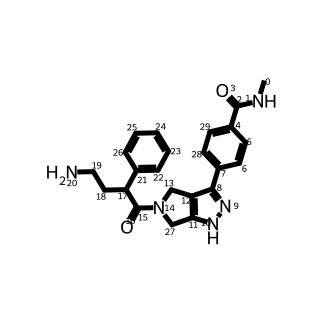 CNC(=O)c1ccc(-c2n[nH]c3c2CN(C(=O)C(CCN)c2ccccc2)C3)cc1